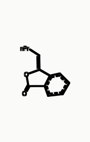 CCCC=C1OC(=O)c2ccccc21